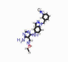 [C-]#[N+]c1cccc(Cn2ncc3cc(Nc4ncnc(N)c4/C=N/OCC)ccc32)c1